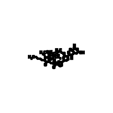 CCCCCC(C(=O)NCNC(=O)c1ccc(-c2ccc(C(=O)NC(CC(=O)O)C(=O)O)c(OCC)c2)o1)[C@@H](CC)N(C=O)OC(=O)C(C)(C)C